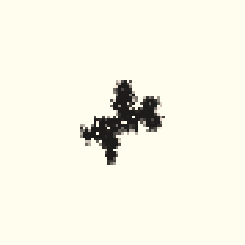 CC(C)(C)c1ccc2c(c1)c1cc(C(C)(C)C)ccc1n2-c1cc(C#N)c(-n2c3ccc(-n4c5ccccc5c5ccccc54)cc3c3c4oc5ccccc5c4ccc32)cc1C#N